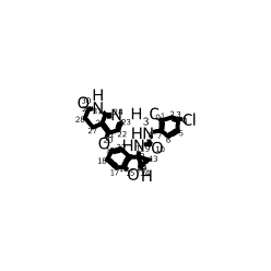 Cc1cc(Cl)ccc1NC(=O)NC12C[C@@H]1Oc1ccc(Oc3ccnc4c3CCC(=O)N4)cc12